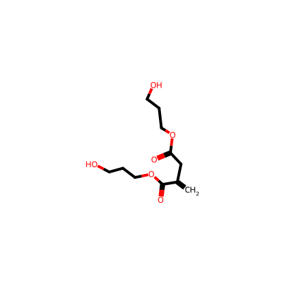 C=C(CC(=O)OCCCO)C(=O)OCCCO